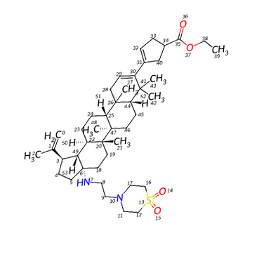 C=C(C)[C@@H]1CC[C@]2(NCCN3CCS(=O)(=O)CC3)CC[C@]3(C)[C@H](CC[C@@H]4C5(C)CC=C(C6=CCC(C(=O)OCC)C6)C(C)(C)[C@@H]5CC[C@]43C)[C@@H]12